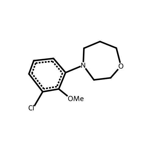 COc1c(Cl)cccc1N1CCCOCC1